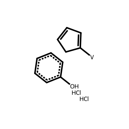 Cl.Cl.Oc1ccccc1.[V][C]1=CC=CC1